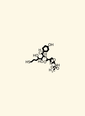 CC(c1ccc(O)cc1)C(NC(=O)c1coc(NS(C)(=O)=O)n1)C(O)C(O)CCCS